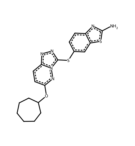 Nc1nc2ccc(Sc3nnc4ccc(OC5CCCCCC5)nn34)cc2s1